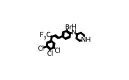 FC(F)(F)C(C=Cc1ccc(NC2CCNCC2)c(Br)c1)c1cc(Cl)c(Cl)c(Cl)c1